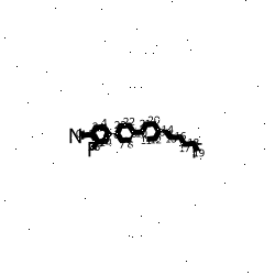 N#Cc1ccc([C@H]2CC[C@H]([C@H]3CC[C@H](C=CCCCF)CC3)CC2)cc1F